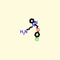 NCCCCn1c(CCOc2ccc(Cl)cc2)nc2ccccc21